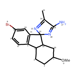 COC1CCC2c3ccc(Br)cc3C3(N=C(C)C(N)=N3)C2C1